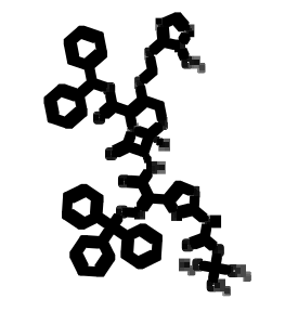 Cn1ncnc1SCSC1=C(C(=O)OC(c2ccccc2)c2ccccc2)N2C(=O)[C@@H](NC(=O)/C(=N\OC(c3ccccc3)(c3ccccc3)c3ccccc3)c3csc(NC(=O)OC(C)(C)C)n3)[C@@H]2SC1